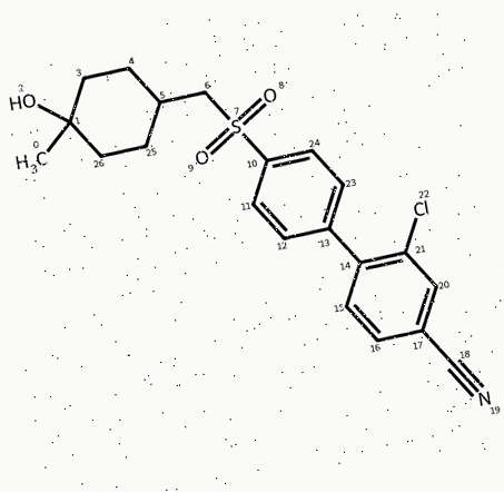 CC1(O)CCC(CS(=O)(=O)c2ccc(-c3ccc(C#N)cc3Cl)cc2)CC1